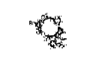 CCn1c(-c2cccnc2[C@H](C)OC)c2c3cc(ccc31)N1CCO[C@H](CC(C)C(=O)N3CC(Br)C[C@H](N3)C(=O)OCC(C)(C)C2)C1